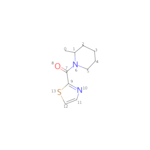 CC1CCCCN1C(=O)c1nccs1